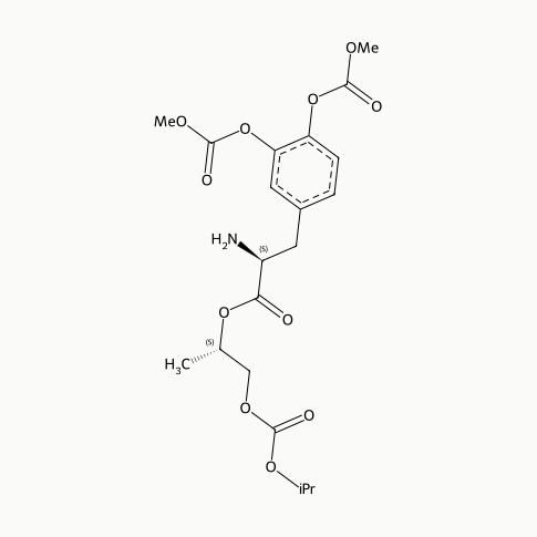 COC(=O)Oc1ccc(C[C@H](N)C(=O)O[C@@H](C)COC(=O)OC(C)C)cc1OC(=O)OC